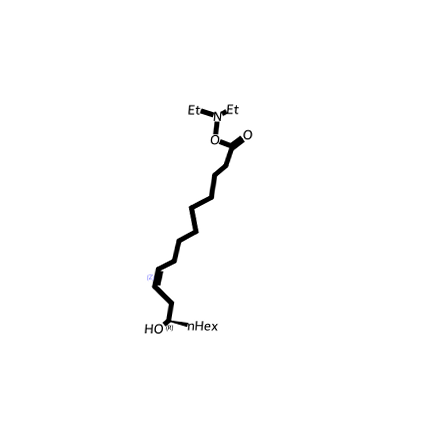 CCCCCC[C@@H](O)C/C=C\CCCCCCCC(=O)ON(CC)CC